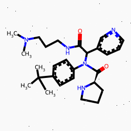 CN(C)CCCNC(=O)C(c1cccnc1)N(C(=O)[C@H]1CCCN1)c1ccc(C(C)(C)C)cc1